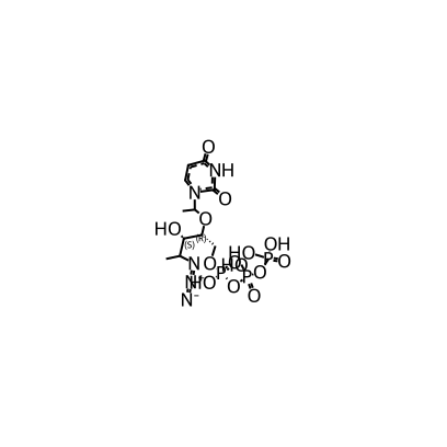 CC(N=[N+]=[N-])[C@H](O)[C@@H](COP(=O)(O)OP(=O)(O)OP(=O)(O)O)OC(C)n1ccc(=O)[nH]c1=O